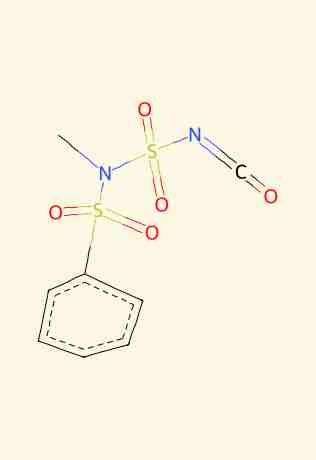 CN(S(=O)(=O)N=C=O)S(=O)(=O)c1ccccc1